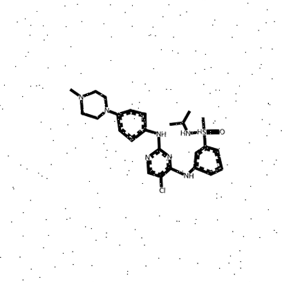 CC(C)N[SH](C)(=O)c1cccc(Nc2nc(Nc3ccc(N4CCN(C)CC4)cc3)ncc2Cl)c1